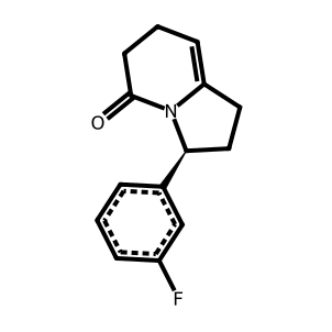 O=C1CCC=C2CC[C@@H](c3cccc(F)c3)N12